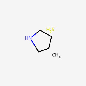 C.C1CCNC1.S